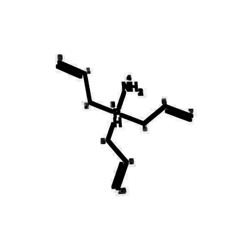 C=CC[PH](N)(CC=C)CC=C